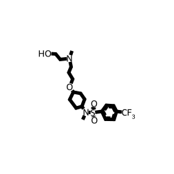 CN(CCO)CCCOC1CCC(N(C)S(=O)(=O)c2ccc(C(F)(F)F)cc2)CC1